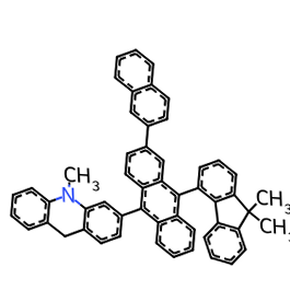 CN1c2ccccc2Cc2ccc(-c3c4ccccc4c(-c4cccc5c4-c4ccccc4C5(C)C)c4cc(-c5ccc6ccccc6c5)ccc34)cc21